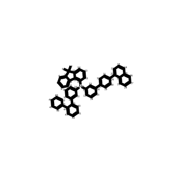 CC1(C)c2ccccc2-c2c(N(c3cccc(-c4ccc(-c5cccc6ccccc56)cc4)c3)c3cccc(-c4ccccc4-c4ccccc4)c3)cccc21